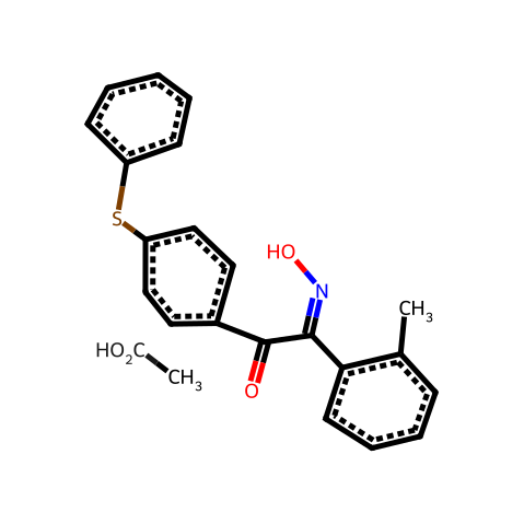 CC(=O)O.Cc1ccccc1C(=NO)C(=O)c1ccc(Sc2ccccc2)cc1